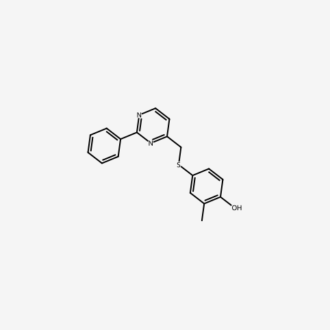 Cc1cc(SCc2ccnc(-c3ccccc3)n2)ccc1O